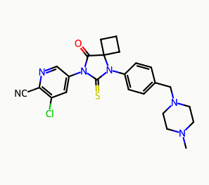 CN1CCN(Cc2ccc(N3C(=S)N(c4cnc(C#N)c(Cl)c4)C(=O)C34CCC4)cc2)CC1